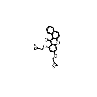 O=c1c2c(OCC3CS3)cc(OCC3CS3)cc2oc2ccc3ccccc3c12